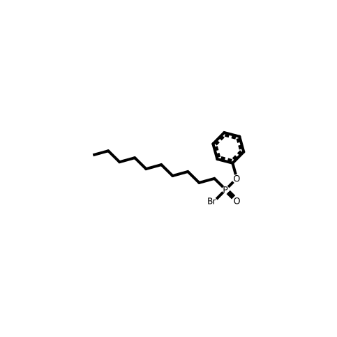 CCCCCCCCCCP(=O)(Br)Oc1ccccc1